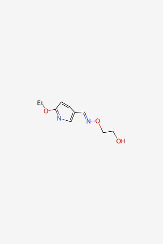 CCOc1ccc(C=NOCCO)cn1